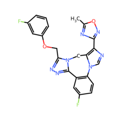 Cc1nc(-c2ncn3c2Cn2c(COc4cccc(F)c4)nnc2-c2cc(F)ccc2-3)no1